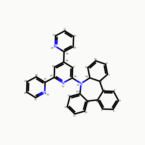 C1=CC2c3ccccc3-c3ccccc3N(c3cc(-c4ccccn4)cc(-c4ccccn4)n3)C2C=C1